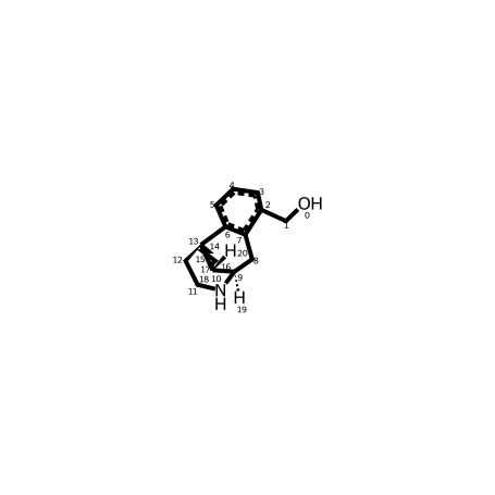 OCc1cccc2c1C[C@H]1NCC[C@@]23CCCC[C@@H]13